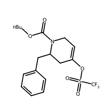 CCCCOC(=O)N1CC=C(OS(=O)(=O)C(F)(F)F)CC1Cc1ccccc1